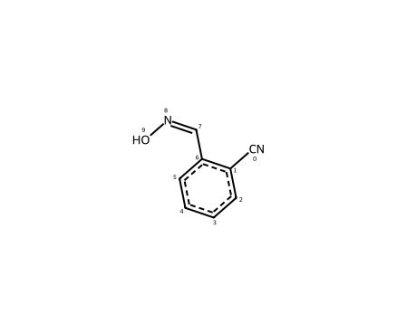 N#Cc1ccccc1/C=N\O